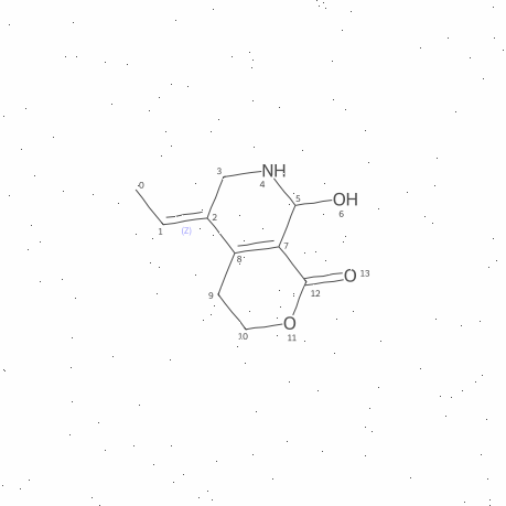 C/C=C1\CNC(O)C2=C1CCOC2=O